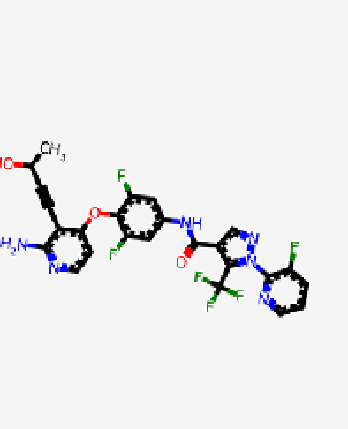 CC(O)C#Cc1c(Oc2c(F)cc(NC(=O)c3cnn(-c4ncccc4F)c3C(F)(F)F)cc2F)ccnc1N